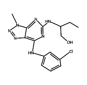 CCC(CO)Nc1nc(Nc2cccc(Cl)c2)c2nnn(C)c2n1